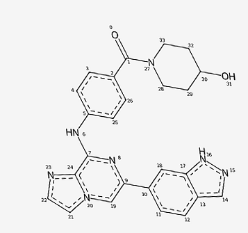 O=C(c1ccc(Nc2nc(-c3ccc4cn[nH]c4c3)cn3ccnc23)cc1)N1CCC(O)CC1